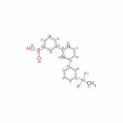 CC(F)(F)c1cccc(-c2ccnc(-c3cccc(C(=O)O)c3)n2)c1